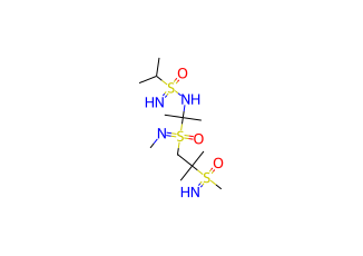 CN=S(=O)(CC(C)(C)S(C)(=N)=O)C(C)(C)NS(=N)(=O)C(C)C